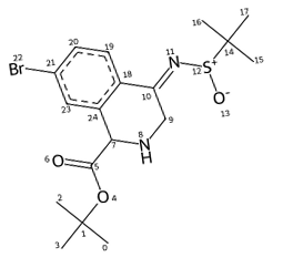 CC(C)(C)OC(=O)C1NCC(=N[S+]([O-])C(C)(C)C)c2ccc(Br)cc21